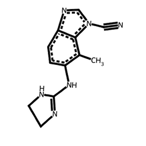 Cc1c(NC2=NCCN2)ccc2ncn(C#N)c12